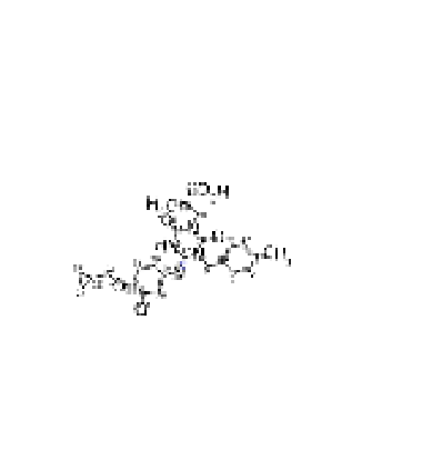 Cc1ccc(Cn2c(=O)n(C[C@H](C)C(=O)O)c(=O)[nH]/c2=N\c2ccc(OCC3CC3)c(Cl)c2)cc1